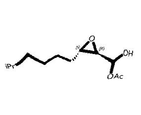 CC(=O)OC(O)[C@@H]1O[C@H]1CCCCC(C)C